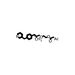 CC(=O)CC(=O)OCCOC/C(C)=C/c1ccc(Cc2cccnc2)cc1